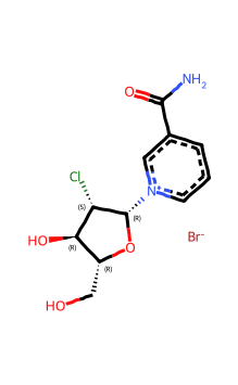 NC(=O)c1ccc[n+]([C@@H]2O[C@H](CO)[C@@H](O)[C@@H]2Cl)c1.[Br-]